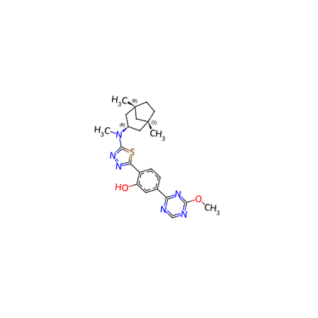 COc1ncnc(-c2ccc(-c3nnc(N(C)[C@H]4C[C@]5(C)CC[C@](C)(C4)C5)s3)c(O)c2)n1